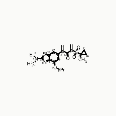 CCN(C)c1nc2c(OC(C)C)cc(NC(=O)NS(=O)(=O)C3(C)CC3)cc2s1